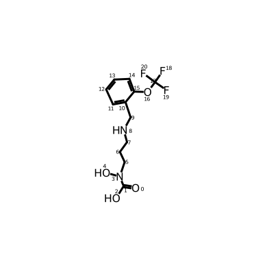 O=C(O)N(O)CCCNCc1ccccc1OC(F)(F)F